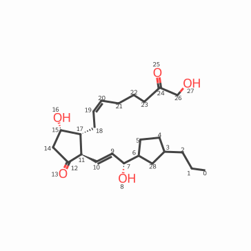 CCCC1CCC([C@H](O)/C=C/[C@H]2C(=O)C[C@H](O)[C@@H]2C/C=C\CCCC(=O)CO)C1